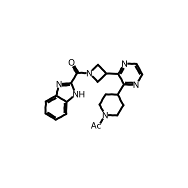 CC(=O)N1CCC(c2nccnc2C2CN(C(=O)c3nc4ccccc4[nH]3)C2)CC1